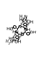 NC[C@H](O)C(O)c1c(F)c(F)c(-c2c3nc(c(-c4cccc(O)c4)c4ccc([nH]4)c(-c4c(F)c(F)c(C(O)[C@@H](O)CN)c(F)c4F)c4nc(c(-c5cccc(O)c5)c5ccc2[nH]5)C=C4)C=C3)c(F)c1F